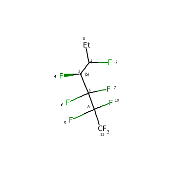 [CH2]CC(F)[C@H](F)C(F)(F)C(F)(F)C(F)(F)F